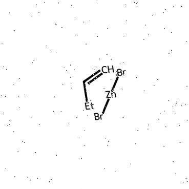 [Br][Zn][Br].[CH2]CC=C